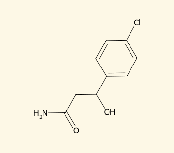 NC(=O)CC(O)c1ccc(Cl)cc1